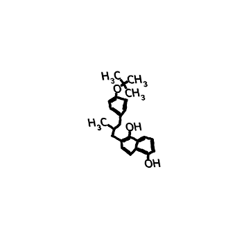 CC(Cc1ccc(OC(C)(C)C)cc1)Cc1ccc2c(O)cccc2c1O